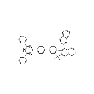 CC1(C)C2=CC3CCC=CC3C(c3ccc4ccccc4c3)=C2c2ccc(-c3ccc(-c4nc(-c5ccccc5)nc(-c5ccccc5)n4)cc3)cc21